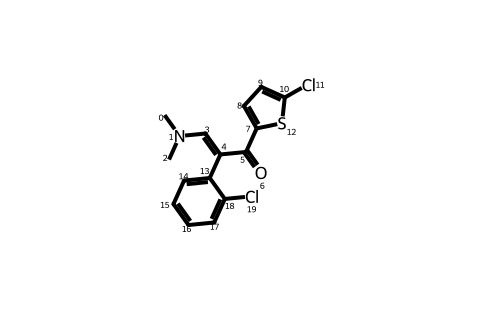 CN(C)/C=C(/C(=O)c1ccc(Cl)s1)c1ccccc1Cl